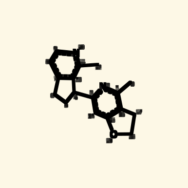 Cc1nc(C2CCc3ccnc(C)c32)cc2c1CCO2